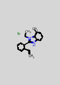 C=Cc1ccccc1-c1[nH]c2cccc(C)c2[n+]1CC.[Br-]